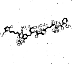 C=C1C=CC(=O)N1CCCCC(=O)Nc1cc(C[C@@H](CC(C)C(=O)O)NC(=O)c2csc([C@@H](C[C@H](C(C)C)N(C)C(=O)[C@@H](NC(=O)[C@H]3CCCCN3C)[C@@H](C)CC)OC(C)=O)n2)ccc1OP(=O)(O)O